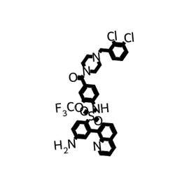 Nc1ccc(S(=O)(=O)Nc2ccc(C(=O)N3CCN(Cc4cccc(Cl)c4Cl)CC3)cc2OC(F)(F)F)c(-c2cccc3cccnc23)c1